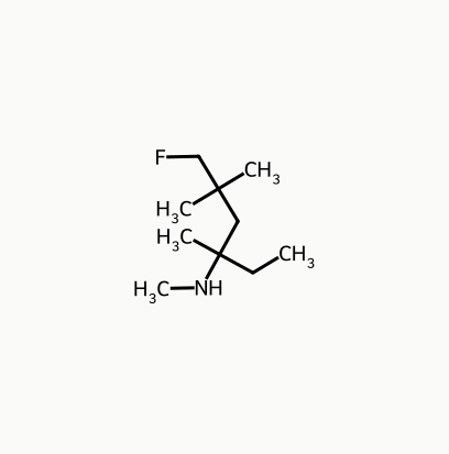 CCC(C)(CC(C)(C)CF)NC